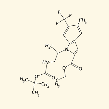 CCOC(=O)c1cc2cc(C)c(C(F)(F)F)cc2n1C(C)CNC(=O)OC(C)(C)C